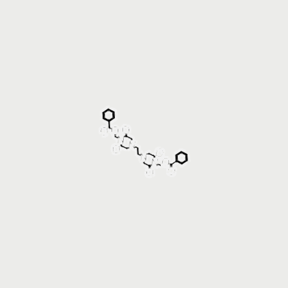 O=C(OCN1C(=O)CN(CCN2CC(=O)N(COC(=O)c3ccccc3)C(=O)C2)CC1=O)c1ccccc1